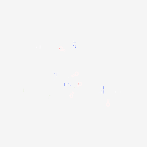 CC(=O)Nc1cccc(S(=O)(=O)NC(=O)c2c(-c3ccc[nH]c3=O)c3cc(Cl)ccc3n2Cc2ccc(F)cc2F)c1